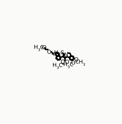 CCOC(=O)c1c(-c2cccc3c2ccn3CCOCCOC)c(C)n2c1-c1cc(OC)c(OC)cc1CC2